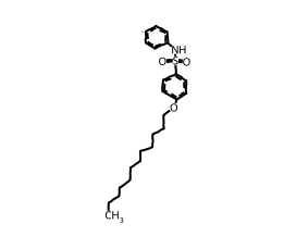 CCCCCCCCCCCCOc1ccc(S(=O)(=O)Nc2cc[c]cc2)cc1